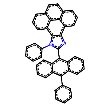 c1ccc(-c2c3ccccc3c(-c3nc4c5cccc6ccc7cccc(c7c65)c4n3-c3ccccc3)c3ccccc23)cc1